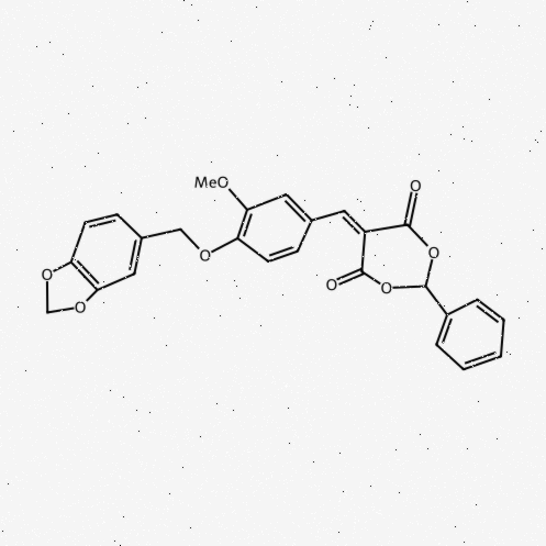 COc1cc(C=C2C(=O)OC(c3ccccc3)OC2=O)ccc1OCc1ccc2c(c1)OCO2